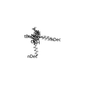 CCCCCCCCCCCCCCCCCCNC(=O)Nc1cc(C(C)(C)C)nn1N(C(=O)NCCCCCCCCCCCCCCCCCC)c1cc(C2CC2)nn1C